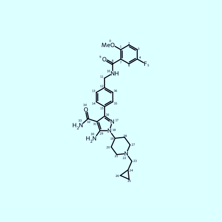 COc1ccc(F)cc1C(=O)NCc1ccc(-c2nn(C3CCN(CC4CC4)CC3)c(N)c2C(N)=O)cc1